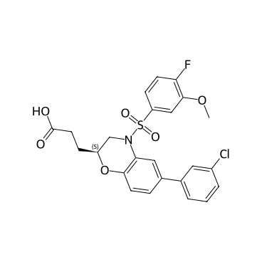 COc1cc(S(=O)(=O)N2C[C@H](CCC(=O)O)Oc3ccc(-c4cccc(Cl)c4)cc32)ccc1F